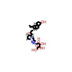 C/C=C1\C[C@H]2[C@@H](CC=C3C[C@@H](O)CC[C@@]32C)[C@@H]1CCC1O[C@@H]2C[C@H](C)CN(Cc3cn([C@@H]4OC(CO)[C@H](O)C(O)C4O)nn3)[C@H]2[C@H]1C